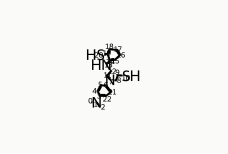 CN(C)c1ccc(N(CCS)CCNc2ccccc2S)cc1